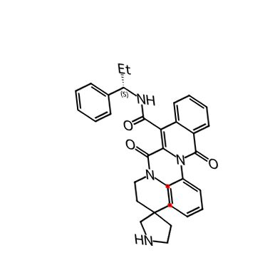 CC[C@H](NC(=O)c1c(C(=O)N2CCC3(CCNC3)CC2)n(-c2ccccc2)c(=O)c2ccccc12)c1ccccc1